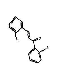 O=C(/C=C/c1ccccc1Br)c1ccccc1Br